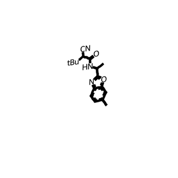 Cc1ccc2nc(C(C)NC(=O)C(C#N)C(C)(C)C)oc2c1